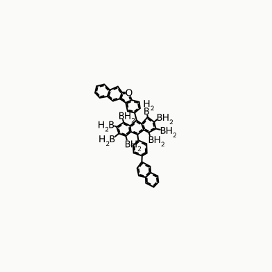 Bc1c(B)c(B)c2c(-c3ccc4oc5cc6ccccc6cc5c4c3)c3c(B)c(B)c(B)c(B)c3c(-c3ccc(-c4ccc5ccccc5c4)cc3)c2c1B